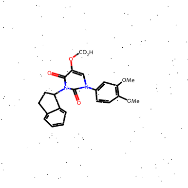 COc1ccc(-n2cc(OC(=O)O)c(=O)n(C3CCc4ccccc43)c2=O)cc1OC